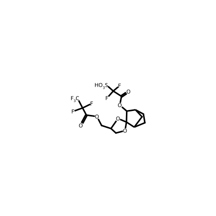 O=C(OCC1COC2(O1)C1CCC(C1)C2OC(=O)C(F)(F)S(=O)(=O)O)C(F)(F)C(F)(F)F